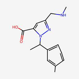 CNCc1cc(C(=O)O)n(C(C)c2cccc(C)c2)n1